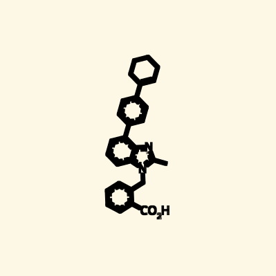 Cc1nc2c(-c3ccc(C4=CCCCC4)cc3)cccc2n1Cc1ccccc1C(=O)O